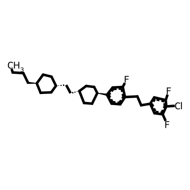 CCCC[C@H]1CC[C@H](CC[C@H]2CC[C@H](c3ccc(CCc4cc(F)c(Cl)c(F)c4)c(F)c3)CC2)CC1